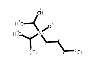 CCCC[Si]([O])(C(C)C)C(C)C